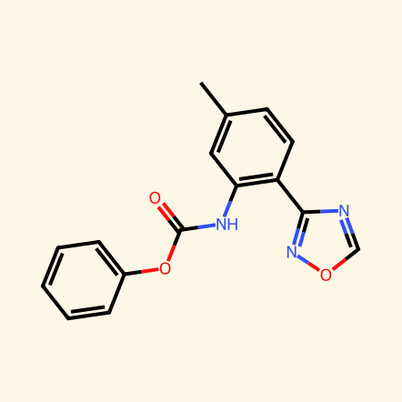 Cc1ccc(-c2ncon2)c(NC(=O)Oc2ccccc2)c1